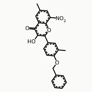 Cc1cc([N+](=O)[O-])c2oc(-c3ccc(OCc4ccccc4)c(C)c3)c(O)c(=O)c2c1